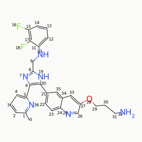 Cc1cccc(-c2nc(CNc3cccc(F)c3F)[nH]c2-c2ccc3ncc(OCCCN)cc3c2)n1